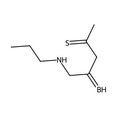 B=C(CNCCC)CC(C)=S